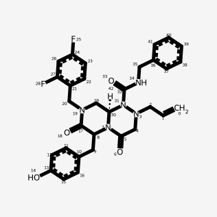 C=CCN1CC(=O)N2C(Cc3ccc(O)cc3)C(=O)N(Cc3ccc(F)cc3F)C[C@H]2N1C(=O)NCc1ccccc1